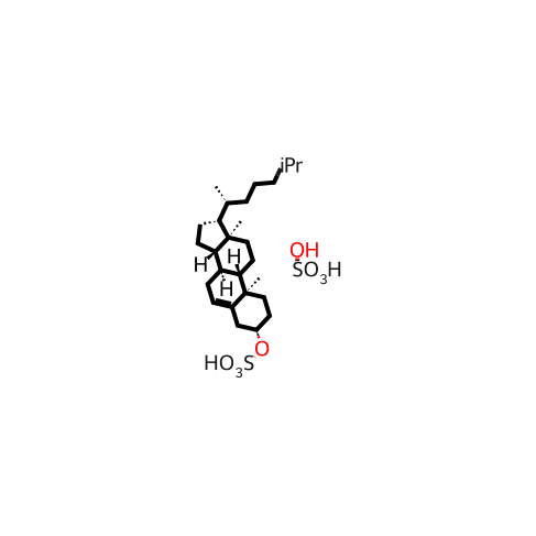 CC(C)CCC[C@@H](C)[C@H]1CC[C@H]2[C@@H]3CC=C4C[C@@H](OS(=O)(=O)O)CC[C@]4(C)[C@H]3CC[C@]12C.O=S(=O)(O)O